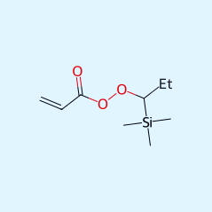 C=CC(=O)OOC(CC)[Si](C)(C)C